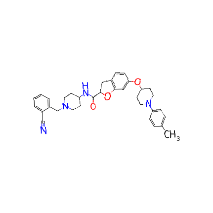 Cc1ccc(N2CCC(Oc3ccc4c(c3)OC(C(=O)NC3CCN(Cc5ccccc5C#N)CC3)C4)CC2)cc1